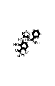 CN(C)C(=O)c1c(Br)ccc(Nc2nsnc2N[C@@H](c2ccccc2)C(C)(C)C)c1O